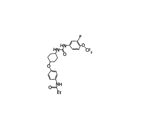 CCC(=O)Nc1ccc(OC2CCC(NC(=O)Nc3ccc(OC(F)(F)F)c(F)c3)CC2)cc1